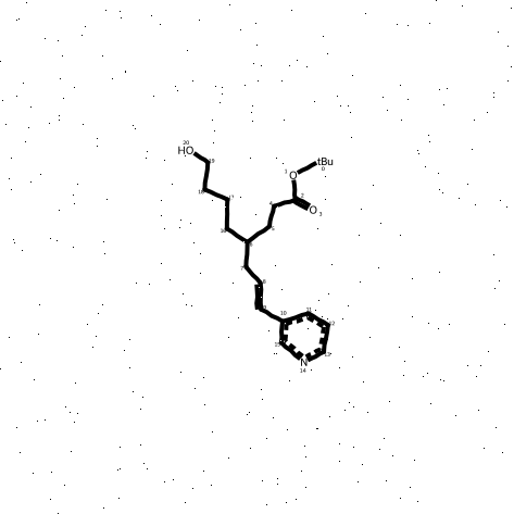 CC(C)(C)OC(=O)CCC(C/C=C/c1cccnc1)CCCCO